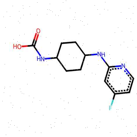 O=C(O)NC1CCC(Nc2cc(F)ccn2)CC1